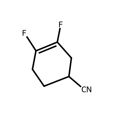 N#CC1CCC(F)=C(F)C1